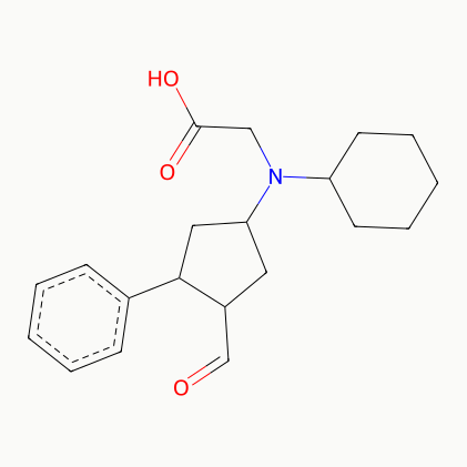 O=CC1CC(N(CC(=O)O)C2CCCCC2)CC1c1ccccc1